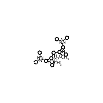 CC1(C)c2ccccc2-n2c3ccc(-c4nc(-c5ccccc5)nc(-c5ccccc5)n4)cc3c3cc(-c4cccc(-c5cc6c7c(c5)c5cc(-c8nc(-c9ccccc9)nc(C9C=CC=CC9)n8)ccc5n7-c5ccccc5C6(C)C)c4)cc1c32